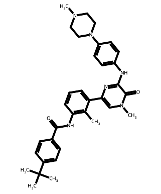 Cc1c(NC(=O)c2ccc(C(C)(C)C)cc2)cccc1-c1cn(C)c(=O)c(Nc2ccc(N3CCN(C)CC3)cc2)n1